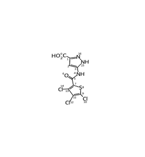 O=C(O)c1cc(NC(=O)c2sc(Cl)c(Cl)c2Cl)[nH]n1